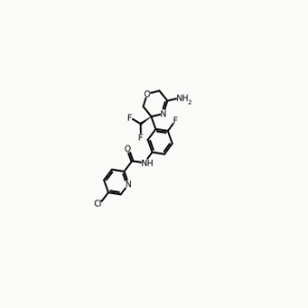 NC1=N[C@@](c2cc(NC(=O)c3ccc(Cl)cn3)ccc2F)(C(F)F)COC1